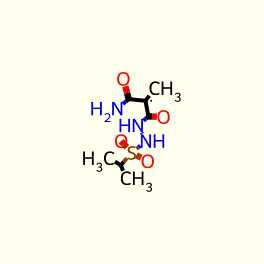 C[C](C(N)=O)C(=O)NNS(=O)(=O)C(C)C